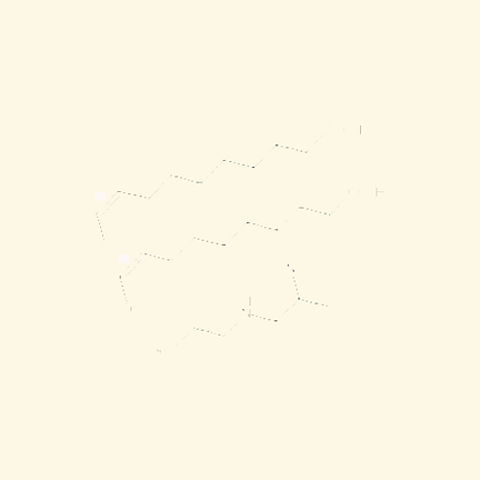 CCCCCCCC/C=C\CCCCCCCC(=O)O.CCCCCCCC/C=C\CCCCCCCC(=O)O.CCCCCCCCCCCCNCC(C)N